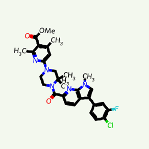 COC(=O)c1c(C)cc(N2CCN(C(=O)c3ccc4c(-c5ccc(Cl)c(F)c5)cn(C)c4n3)C(C)(C)C2)nc1C